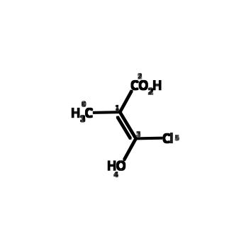 CC(C(=O)O)=C(O)Cl